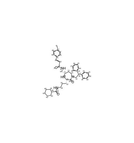 Cc1ccc(/C=C/C(=O)NC[C@@H]2CCN(CC(c3ccccc3)c3ccccc3)C(=O)[C@H](CCCNC(=O)C3CCCCC3)N2)cc1